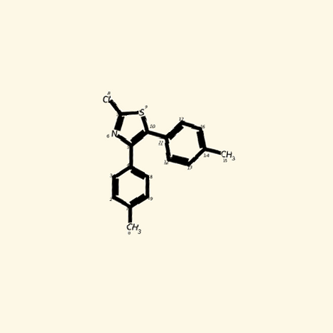 Cc1ccc(-c2nc(Cl)sc2-c2ccc(C)cc2)cc1